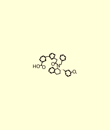 COc1cccc(C[C@@H]2CCc3ccccc3[C@H]2N(Cc2ccccc2)C(=O)Cc2cccc(-c3cccc(C(=O)O)c3)c2)c1